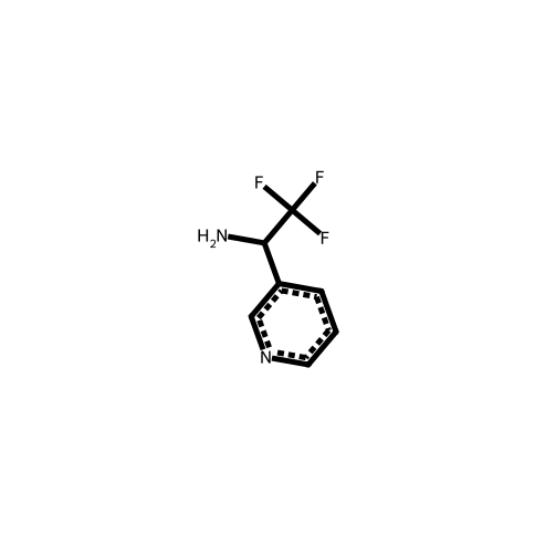 NC(c1cccnc1)C(F)(F)F